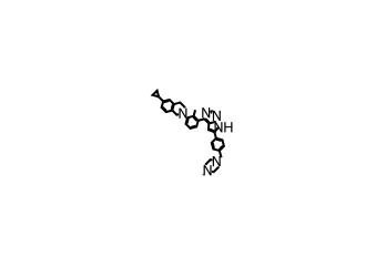 Cc1c(-c2ncnc3[nH]c(-c4ccc(CN5CCN(C)CC5)cc4)cc23)cccc1N1CCc2cc(C3CC3)ccc2C1